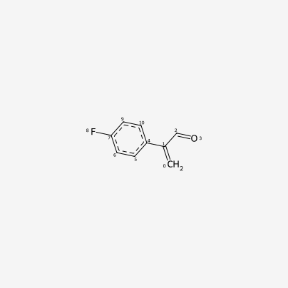 C=C(C=O)c1ccc(F)cc1